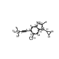 Cc1nc2cc(C#C[Si](C)(C)C)c(Cl)cc2n1C1CC1